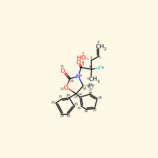 C=C[C@@H](O)C(C)(F)C(=O)N1C(=O)OC(c2ccccc2)(c2ccccc2)[C@H]1C(C)C